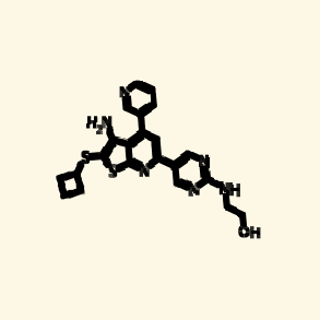 Nc1c(SC2CCC2)sc2nc(-c3cnc(NCCO)nc3)cc(-c3cccnc3)c12